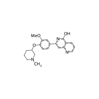 COc1cc(-c2cc3ncccc3c(O)n2)ccc1OC1CCCN(C)C1